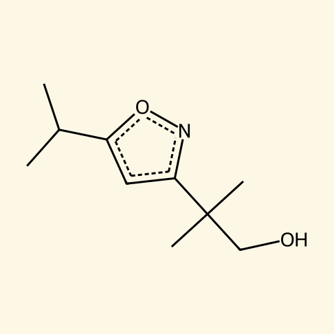 CC(C)c1cc(C(C)(C)CO)no1